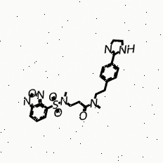 CN(CCc1ccc(C2=NCCN2)cc1)C(=O)CCN(C)S(=O)(=O)c1cccc2nonc12